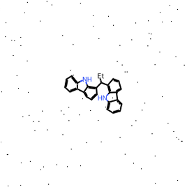 CCC(c1cccc2c1[nH]c1ccccc12)c1cccc2c1[nH]c1ccccc12